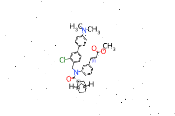 COC(=O)/C=C/c1cccc(N(Cc2ccc(-c3ccc(N(C)C)cc3)cc2Cl)C(=O)[C@@H]2C[C@@H]3CC[C@H]2C3)c1